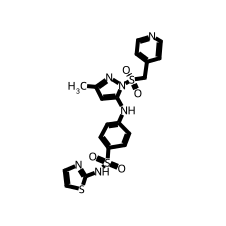 Cc1cc(Nc2ccc(S(=O)(=O)Nc3nccs3)cc2)n(S(=O)(=O)Cc2ccncc2)n1